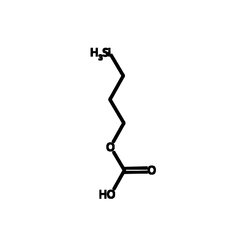 O=C(O)OCCC[SiH3]